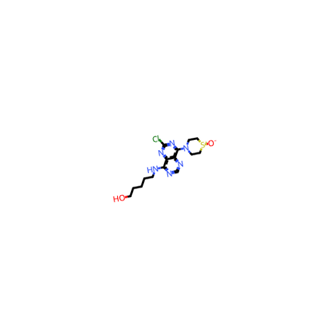 [O-][S+]1CCN(c2nc(Cl)nc3c(NCCCCCO)ncnc23)CC1